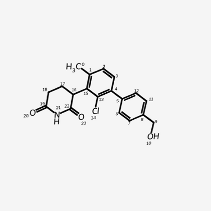 Cc1ccc(-c2ccc(CO)cc2)c(Cl)c1C1CCC(=O)NC1=O